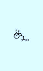 O=C(O)CC1C2CCCC3CC1C2(F)C3F